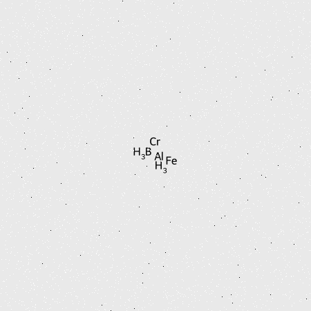 B.[AlH3].[Cr].[Fe]